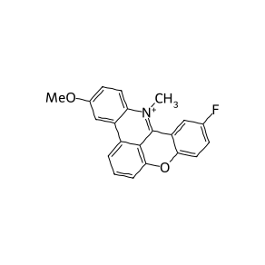 COc1ccc2c(c1)c1cccc3c1c([n+]2C)-c1cc(F)ccc1O3